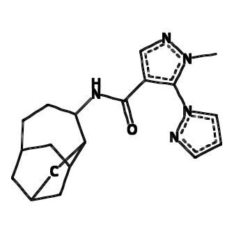 Cn1ncc(C(=O)NC2CCC3CC4CC(C3)C2C4)c1-n1cccn1